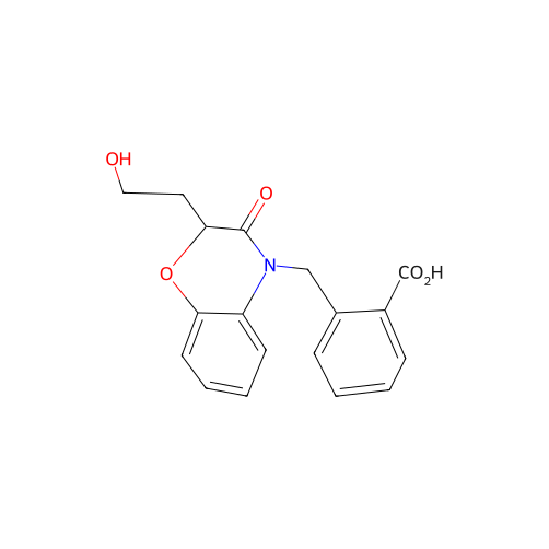 O=C(O)c1ccccc1CN1C(=O)C(CCO)Oc2ccccc21